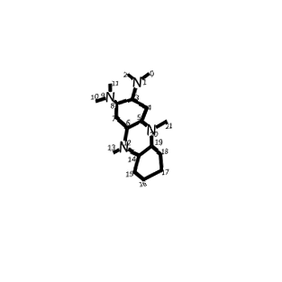 CN(C)C1CC2C(CC1N(C)C)N(C)C1CCCCC1N2C